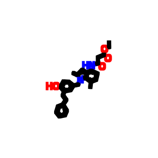 CCOC(=O)CC(=O)Nc1ccc(C)c2c1cc(C)n2Cc1ccc(O)c(CCc2ccccc2)c1